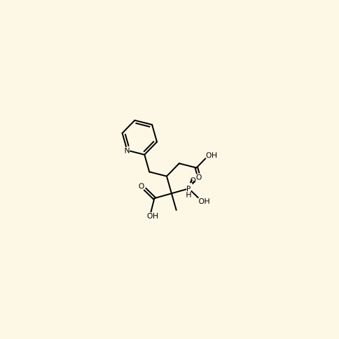 CC(C(=O)O)(C(CC(=O)O)Cc1ccccn1)[PH](=O)O